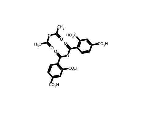 CC(=O)OC(C)=O.O=C(O)c1ccc(C(=O)OC(=O)c2ccc(C(=O)O)cc2C(=O)O)c(C(=O)O)c1